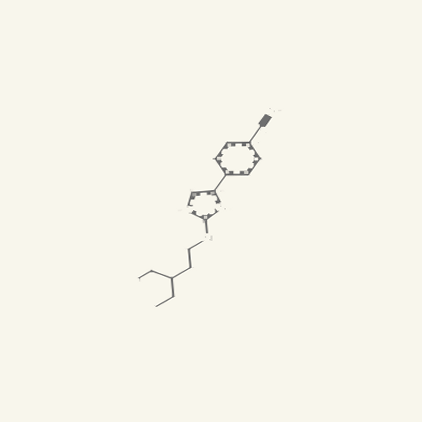 CCC(CO)CCNc1nc(-c2ccc(C#N)cc2)cs1